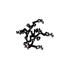 CCOP(=O)(CCC(N)(P(=O)(OCC)OCC)P(=O)(OCC)OCC)OCC